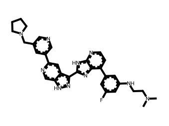 CN(C)CCNc1cc(F)cc(-c2ccnc3[nH]c(-c4n[nH]c5cnc(-c6cncc(CN7CCCC7)c6)cc45)nc23)c1